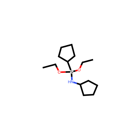 CCO[Si](NC1CCCC1)(OCC)C1CCCC1